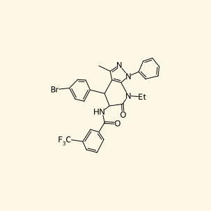 CCN1C(=O)C(NC(=O)c2cccc(C(F)(F)F)c2)C(c2ccc(Br)cc2)c2c(C)nn(-c3ccccc3)c21